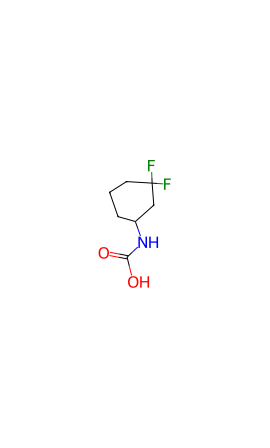 O=C(O)NC1CCCC(F)(F)C1